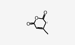 CC1=CC(=O)OC(=O)[C]1